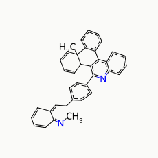 C/N=C1/C=CC=C/C1=C/Cc1ccc(-c2nc3ccccc3c3c2C2C=CC=CC2(C)c2ccccc2-3)cc1